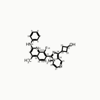 Cc1cc(Nc2ccccc2)nc2c(F)c(C3=NC(C4CC(O)C4)=C4C=NC=C[N+]34N)ccc12